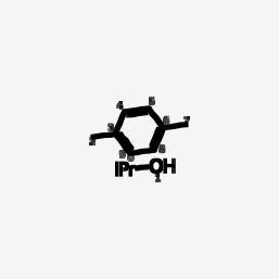 CC(C)O.Cc1ccc(C)cc1